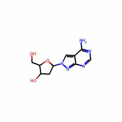 Nc1ncnc2nn(C3CC(O)C(CO)O3)cc12